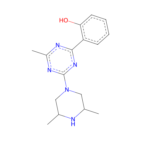 Cc1nc(-c2ccccc2O)nc(N2CC(C)NC(C)C2)n1